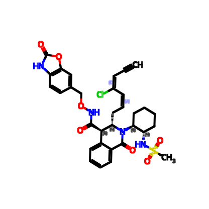 C#C/C=C(Cl)\C=C/C[C@H]1[C@H](C(=O)NOCc2ccc3[nH]c(=O)oc3c2)c2ccccc2C(=O)N1[C@H]1CCCC[C@@H]1NS(C)(=O)=O